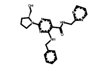 O=C(NCc1ncccn1)c1cnc(N2CCC[C@H]2CO)nc1NCc1ccccc1